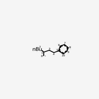 [CH2]C(CCCC)CCc1ccccc1